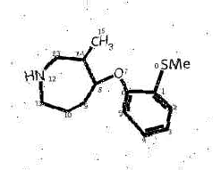 CSc1ccccc1OC1CCCNCC1C